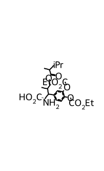 CCOC(=O)Oc1ccc(C(C(C)COC(=O)C(C)C(C)C)[C@H](N)C(=O)O)cc1OC(=O)OCC